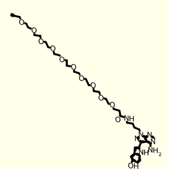 C#CCOCCOCCOCCOCCOCCOCCOCCOCCOCCOCCC(=O)NCCCCn1nc(-c2cc3cc(O)ccc3[nH]2)c2c(N)ncnc21